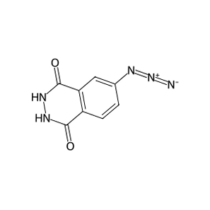 [N-]=[N+]=Nc1ccc2c(=O)[nH][nH]c(=O)c2c1